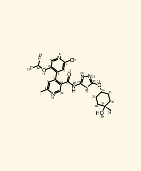 Cc1cc(-c2cc(Cl)ncc2OC(F)F)c(C(=O)Nc2nnc(O[C@H]3CC[C@@](C)(O)CC3)s2)cn1